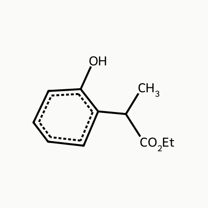 CCOC(=O)C(C)c1ccccc1O